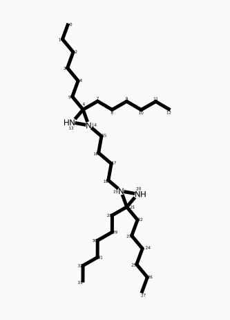 CCCCCCC1(CCCCCC)NN1CCCCN1NC1(CCCCCC)CCCCCC